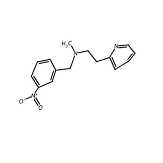 CN(CCc1ccccn1)Cc1cccc([N+](=O)[O-])c1